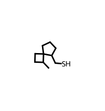 CC1CCC12CCCC2CS